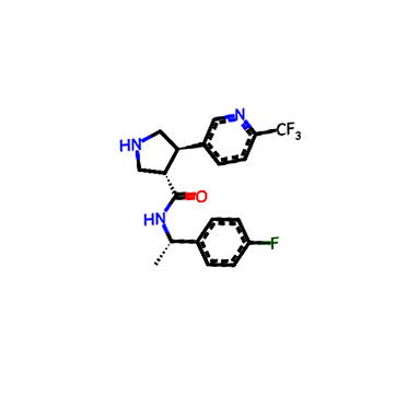 C[C@H](NC(=O)[C@@H]1CNC[C@H]1c1ccc(C(F)(F)F)nc1)c1ccc(F)cc1